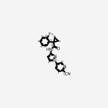 N#Cc1ccc(-n2ccc(NC(=O)C3(c4ccccc4F)CC3)n2)cn1